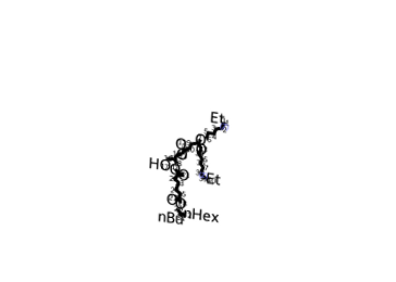 CC/C=C\CCCCOC(CCC(=O)OCC(CO)COC(=O)CCCCC(=O)OCC(CCCC)CCCCCC)OCCCC/C=C\CC